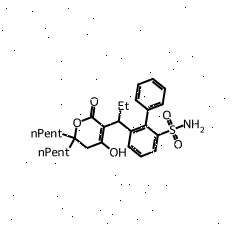 CCCCCC1(CCCCC)CC(O)=C(C(CC)c2cccc(S(N)(=O)=O)c2-c2ccccc2)C(=O)O1